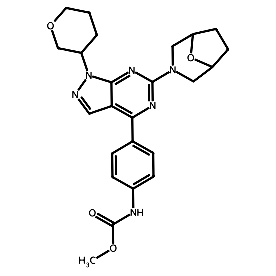 COC(=O)Nc1ccc(-c2nc(N3CC4CCC(C3)O4)nc3c2cnn3C2CCCOC2)cc1